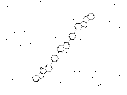 c1ccc2c(c1)sc1c3ccc(-c4ccc(-c5ccc6cc(-c7ccc(-c8ccc9c(c8)sc8c%10ccccc%10sc98)cc7)ccc6c5)cc4)cc3sc21